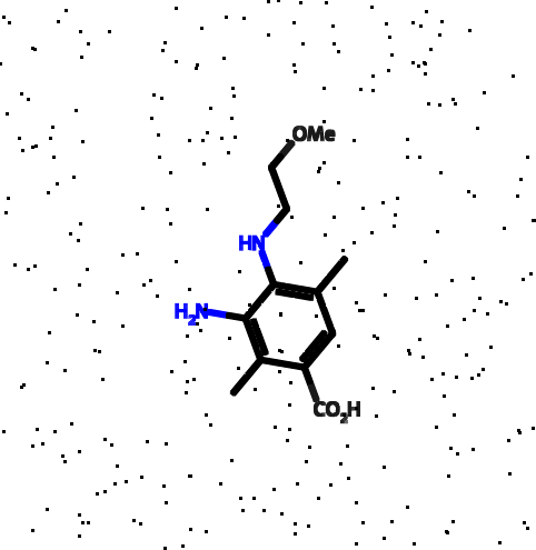 COCCNc1c(C)cc(C(=O)O)c(C)c1N